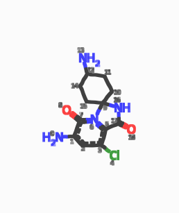 Nc1cc(Cl)c2n(c1=O)C1(CCC(N)CC1)NC2=O